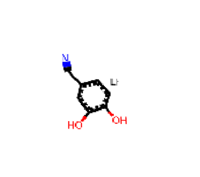 N#Cc1ccc(O)c(O)c1.[Li]